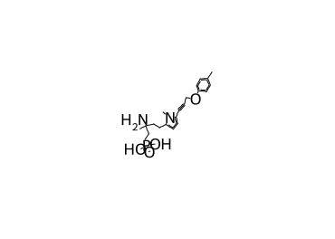 Cc1ccc(OCC#Cc2ccc(CCC(C)(N)CCP(=O)(O)O)n2C)cc1